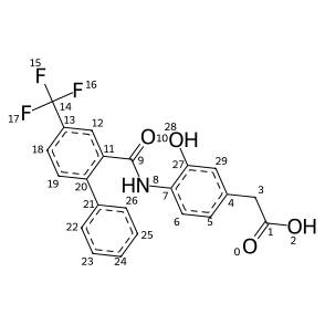 O=C(O)Cc1ccc(NC(=O)c2cc(C(F)(F)F)ccc2-c2ccccc2)c(O)c1